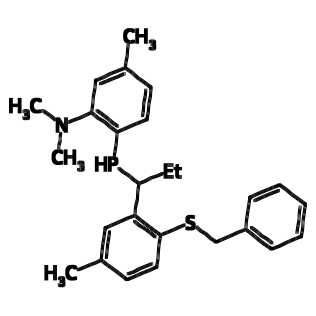 CCC(Pc1ccc(C)cc1N(C)C)c1cc(C)ccc1SCc1ccccc1